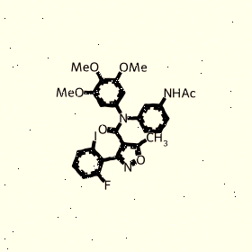 COc1cc(N(C(=O)c2c(-c3c(F)cccc3I)noc2C)c2cccc(NC(C)=O)c2)cc(OC)c1OC